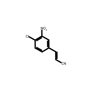 N#CC=Cc1ccc(Cl)c([N+](=O)[O-])c1